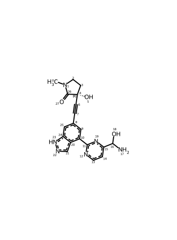 CN1CC[C@@](O)(C#Cc2cc(-c3nccc(C(N)O)n3)c3cn[nH]c3c2)C1=O